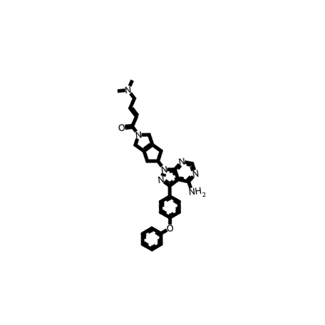 CN(C)CC=CC(=O)N1CC2=C(CC(n3nc(-c4ccc(Oc5ccccc5)cc4)c4c(N)ncnc43)C2)C1